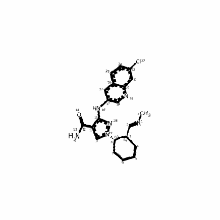 CN=C[C@H]1CCCC[C@@H]1n1cc(C(N)=O)c(Nc2cnc3cc(Cl)ccc3c2)n1